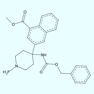 COC(=O)c1cc(C2(NC(=O)OCc3ccccc3)CCN(P)CC2)cc2ccccc12